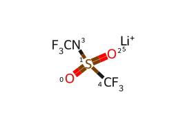 O=S(=O)([N-]C(F)(F)F)C(F)(F)F.[Li+]